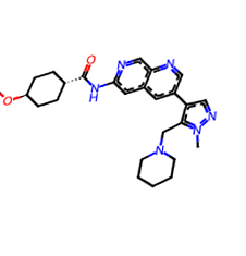 CO[C@H]1CC[C@H](C(=O)Nc2cc3cc(-c4cnn(C)c4CN4CCCCC4)cnc3cn2)CC1